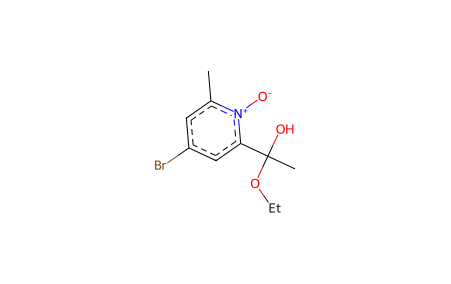 CCOC(C)(O)c1cc(Br)cc(C)[n+]1[O-]